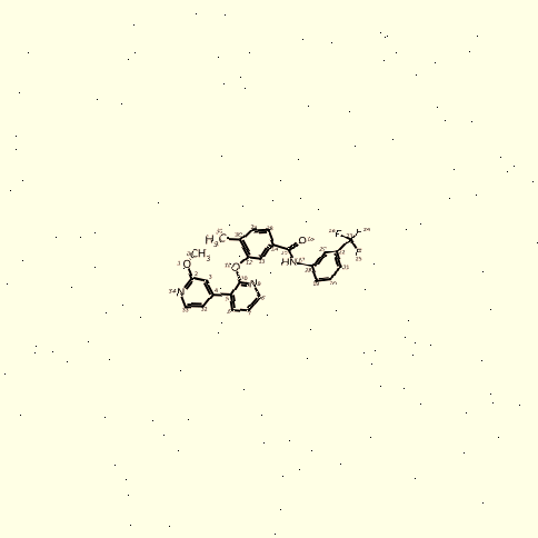 COc1cc(-c2cccnc2Oc2cc(C(=O)Nc3cccc(C(F)(F)F)c3)ccc2C)ccn1